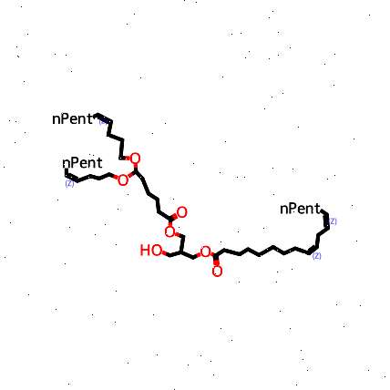 CCCCC/C=C\C/C=C\CCCCCCCC(=O)OCC(CO)COC(=O)CCCCC(OCCC/C=C\CCCCC)OCCC/C=C\CCCCC